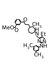 CCc1cnc(Nc2cc(C)cc(C)c2)nc1CN[C@@H]1CCCC(CCC(=O)c2cccc(C(=O)OC)c2)[C@H](C)C1